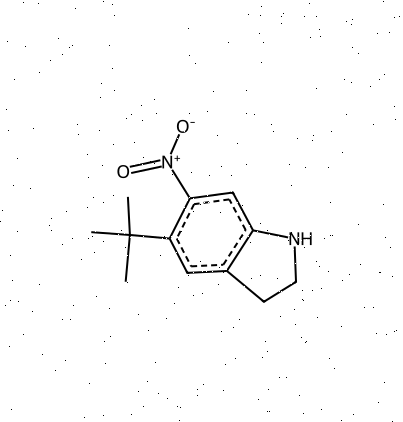 CC(C)(C)c1cc2c(cc1[N+](=O)[O-])NCC2